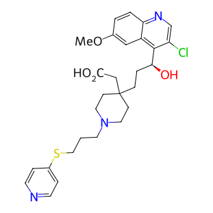 COc1ccc2ncc(Cl)c([C@@H](O)CCC3(CC(=O)O)CCN(CCCSc4ccncc4)CC3)c2c1